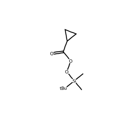 CC(C)(C)[Si](C)(C)OOC(=O)C1CC1